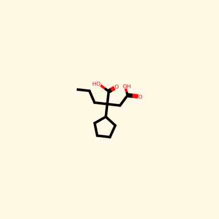 CCCC(CC(=O)O)(C(=O)O)C1CCCC1